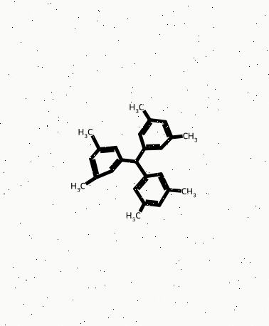 Cc1cc(C)cc([C](c2cc(C)cc(C)c2)c2cc(C)cc(C)c2)c1